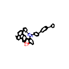 c1ccc(-c2ccc(-c3ccc(-c4nc(-c5ccccc5)nc(-c5cccc6oc7cc8c(cc7c56)-c5cccc6cccc-8c56)n4)cc3)cc2)cc1